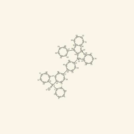 O=P(c1ccccc1)(c1ccccc1)c1ccc(-c2ccc(-n3c4ccccc4n4c5ccccc5c(-c5ccccc5)c34)cc2)cc1